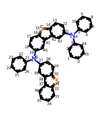 c1ccc(N(c2ccccc2)c2ccc3sc4ccc(N(c5ccccc5)c5ccc6sc7ccccc7c6c5)cc4c3c2)cc1